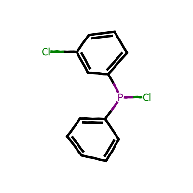 Clc1cccc(P(Cl)c2ccccc2)c1